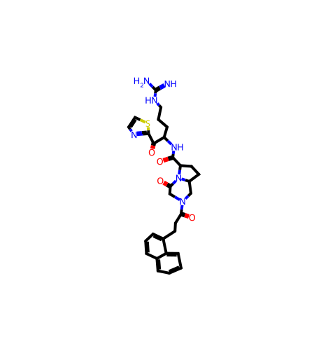 N=C(N)NCCCC(NC(=O)C1CCC2CN(C(=O)CCc3cccc4ccccc34)CC(=O)N21)C(=O)c1nccs1